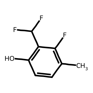 Cc1ccc(O)c(C(F)F)c1F